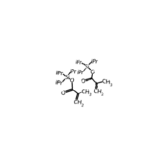 C=C(C)C(=O)O[Si](C(C)C)(C(C)C)C(C)C.C=C(C)C(=O)O[Si](C(C)C)(C(C)C)C(C)C